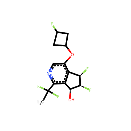 CC(F)(F)c1ncc(OC2CC(F)C2)c2c1[C@H](O)[C@H](F)[C@@H]2F